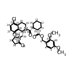 COc1ccc(COC(=O)[C@H]2CCCC[C@H]2C(=O)N2CCc3c(Cl)ccc(O)c3[C@H]2CN2CCCC2=O)c(OC)c1